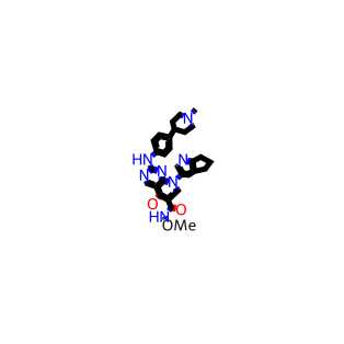 CONC(=O)c1cn(-c2cnc3c(c2)CCC3)c2nc(Nc3ccc(C4CCN(C)CC4)cc3)ncc2c1=O